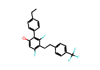 CCc1ccc(-c2c([O])cc(F)c(CCc3ccc(C(F)(F)F)cc3)c2F)cc1